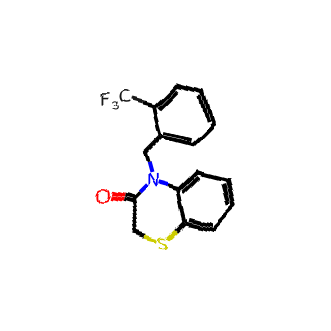 O=C1CSc2ccccc2N1Cc1ccccc1C(F)(F)F